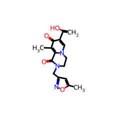 C=C(O)c1cn2c(c(C)c1=O)C(=O)N(Cc1cc(C)on1)CC2